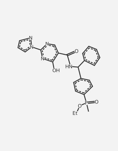 CCOP(C)(=O)c1ccc(C(NC(=O)c2cnc(-n3cccn3)nc2O)c2ccccc2)cc1